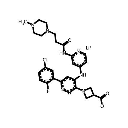 CN1CCN(CCC(=O)Nc2cc(Nc3cc(-c4cc(Cl)ccc4F)nnc3N3CC(C(=O)[O-])C3)ccn2)CC1.[Li+]